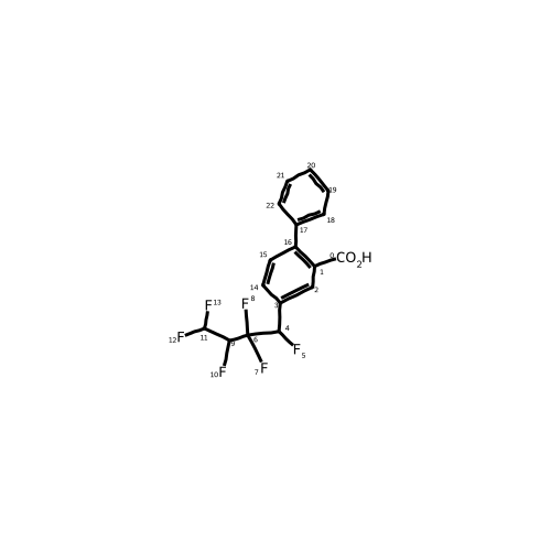 O=C(O)c1cc(C(F)C(F)(F)C(F)C(F)F)ccc1-c1ccccc1